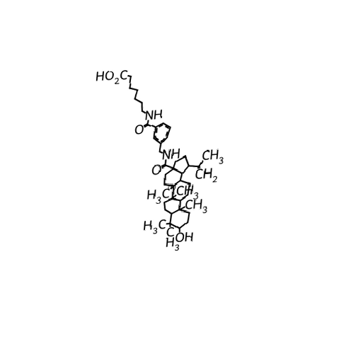 C=C(C)C1CCC2(C(=O)NCc3cccc(C(=O)NCCCCCCC(=O)O)c3)CC[C@]3(C)C(CCC4C5(C)CCC(O)C(C)(C)C5CCC43C)C12